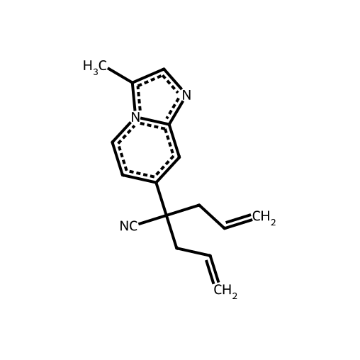 C=CCC(C#N)(CC=C)c1ccn2c(C)cnc2c1